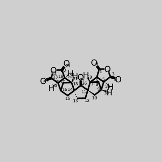 O=C1OC(=O)[C@@H]2C1[C@@H]1C[C@H]2C[C@]12CC[C@@]1(CC3C[C@@H]1[C@@H]1C(=O)OC(=O)[C@H]31)C2=O